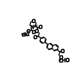 CC(C)(C)OC(=O)N1CCOC[C@H]1C(=O)OCC(=O)c1ccc(-c2ccc3cc(C(=O)COC=O)ccc3c2)cc1